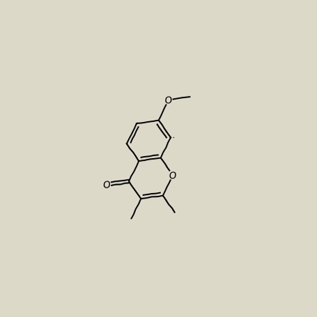 COc1[c]c2oc(C)c(C)c(=O)c2cc1